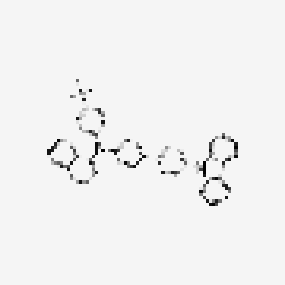 CC(C)(C)c1ccc(N(c2ccc(-c3ccc(-n4c5ccccc5c5ccccc54)cc3)cc2)c2cccc3ccccc23)cc1